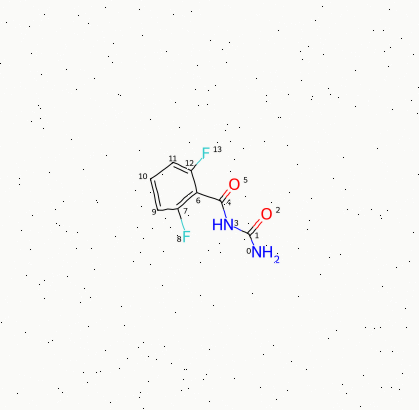 NC(=O)NC(=O)c1c(F)cccc1F